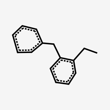 CCc1ccccc1Cc1ccccc1